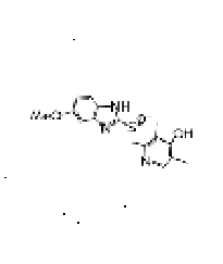 COc1ccc2[nH]c([S+]([O-])Cc3ncc(C)c(O)c3C)nc2c1